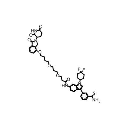 NC(=S)c1cccc(-c2cn(C3CCC(F)(F)CC3)c3cc(NC(=O)CCOCCCOCCCCOc4cccc5c4CN(C4CCC(=O)NC4=O)C5=O)ccc23)c1